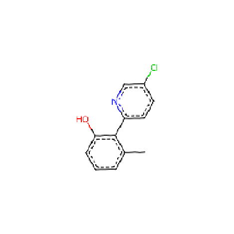 Cc1cccc(O)c1-c1ccc(Cl)cn1